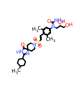 Cc1cc(N(C[C@H](O)CO)C(N)=O)cc(C)c1C=CS(=O)(=O)N1CCC2(CC1)N=C(C1CCC(C)CC1)NC2=O